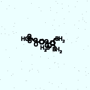 BCc1cc(CB)c(CB)c(C(=O)OC2C=CC(C(=O)OCCS(=O)(=O)O)CC2)c1